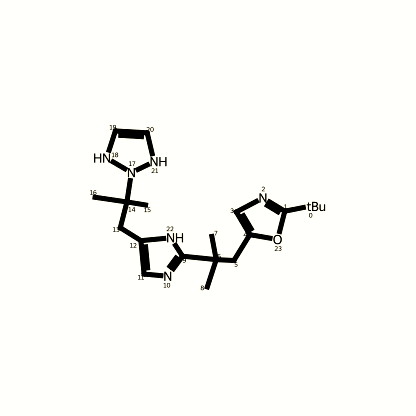 CC(C)(C)c1ncc(CC(C)(C)c2ncc(CC(C)(C)N3NC=CN3)[nH]2)o1